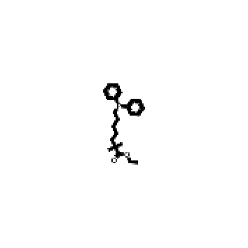 CCOC(=O)C(C)(C)CCCCCP(c1ccccc1)c1ccccc1